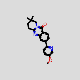 COc1ccc(-c2ccc3c(=O)n4c(nc3c2)CCC(C)(C)C4)nc1